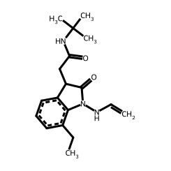 C=CNN1C(=O)C(CC(=O)NC(C)(C)C)c2cccc(CC)c21